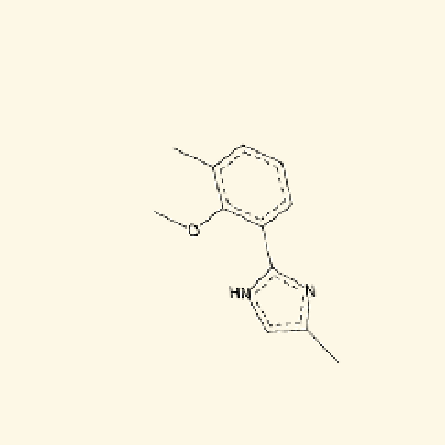 COc1c(C)cccc1-c1nc(C)c[nH]1